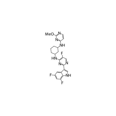 COc1nccc(NC2CCCC(Nc3nc(-c4c[nH]c5c(F)cc(F)cc45)ncc3F)C2)n1